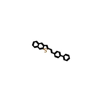 C(=C\c1cc2cc3ccccc3cc2s1)/c1ccc(-c2ccccc2)cc1